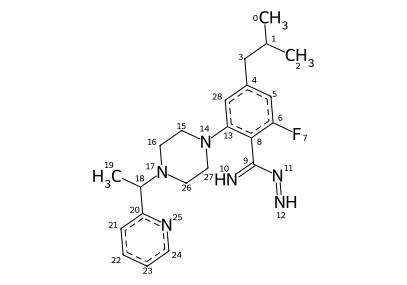 CC(C)Cc1cc(F)c(C(=N)N=N)c(N2CCN(C(C)c3ccccn3)CC2)c1